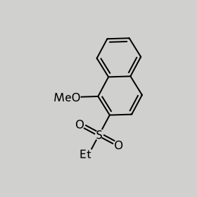 CCS(=O)(=O)c1ccc2ccccc2c1OC